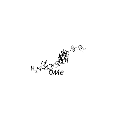 C=C1C[C@H](CC[C@@]23C[C@H]4O[C@H]5[C@@H](O2)[C@H]2O[C@@H](CC(=O)C[C@@H]6[C@@H](OC)[C@@H](CC(O)CN)O[C@H]6C)CC[C@@H]2O[C@H]5[C@H]4O3)O[C@H]1CC[C@H]1C[C@@H](C)C(=C)[C@@H](C)O1